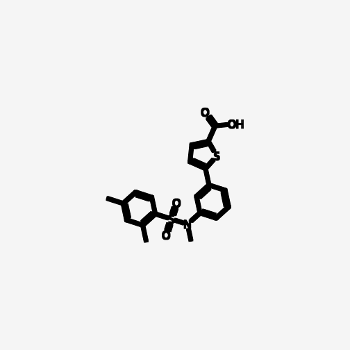 Cc1ccc(S(=O)(=O)N(C)c2cccc(-c3ccc(C(=O)O)s3)c2)c(C)c1